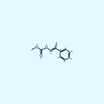 COC(=O)ON=C(C)c1ccccc1